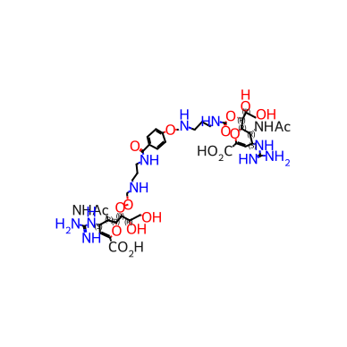 CC(=O)N[C@H]1[C@H]([C@H](OOCNCCCNC(=O)c2ccc(OCNCCCNC(=O)O[C@@H]([C@@H]3OC(C(=O)O)=C[C@H](NC(=N)N)[C@H]3NC(C)=O)[C@H](O)CO)cc2)[C@H](O)CO)OC(C(=O)O)=C[C@@H]1NC(=N)N